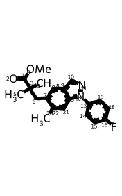 COC(=O)C(C)(C)Cc1cc2cnn(-c3ccc(F)cc3)c2cc1C